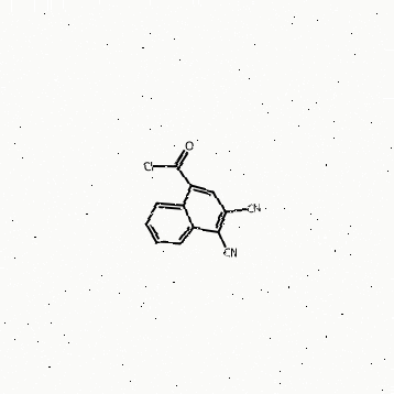 N#Cc1cc(C(=O)Cl)c2ccccc2c1C#N